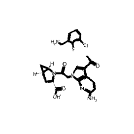 CC(=O)c1cn(CC(=O)N2[C@@H]3C[C@@H]3C[C@H]2C(=O)O)c2nc(N)ccc12.NCc1cccc(Cl)c1F